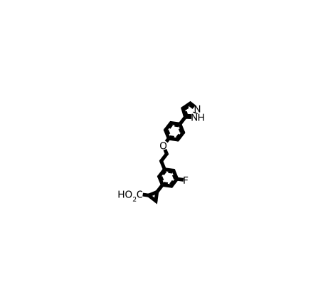 O=C(O)C1CC1c1cc(F)cc(CCOc2ccc(-c3ccn[nH]3)cc2)c1